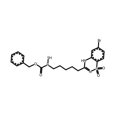 O=C(OCc1ccccc1)N(S)CCCCCC1=NS(=O)(=O)c2ccc(Br)cc2N1